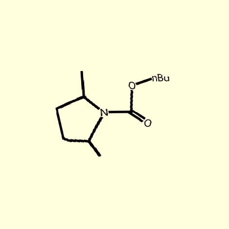 CCCCOC(=O)N1C(C)CCC1C